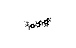 Cc1c(O)c(-c2ncc3c(=O)n(C4CCC(NC(=O)OC(C)(C)C)CC4)ccc3n2)cc2cn(C)nc12